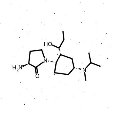 CCC(O)[C@@H]1C[C@H](N(C)C(C)C)CC[C@@H]1N1CC[C@H](N)C1=O